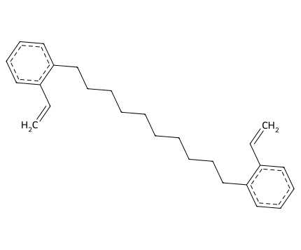 C=Cc1ccccc1CCCCCCCCCCc1ccccc1C=C